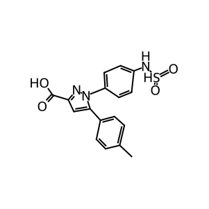 Cc1ccc(-c2cc(C(=O)O)nn2-c2ccc(N[SH](=O)=O)cc2)cc1